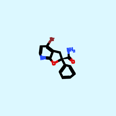 NC(=O)[C@@]1(c2ccccc2)Cc2c(Br)ccnc2O1